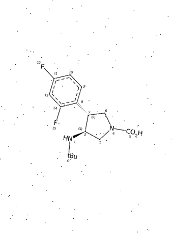 CC(C)(C)N[C@@H]1CN(C(=O)O)C[C@H]1c1ccc(F)cc1F